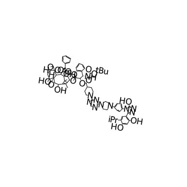 CC(=O)O[C@@]12CO[C@@H]1C[C@H](O)[C@@]1(C)C(=O)[C@H](O)C3=C(C)[C@@H](OC(=O)[C@H](OC(=O)C4CCN(c5ncnc(N6CCN(c7ccc(-n8c(O)nnc8-c8cc(C(C)C)c(O)cc8O)cc7)CC6)n5)CC4)[C@@H](NC(=O)OC(C)(C)C)c4ccccc4)C[C@@](O)([C@@H](OC(=O)c4ccccc4)[C@H]21)C3(C)C